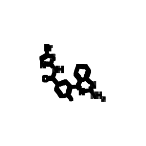 Cc1ccc(C(=O)Nc2ncc(Br)s2)cc1-c1nc(N)nc2ccccc12